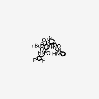 CCCCOc1c2n(cc(C(=O)NCc3c(F)cc(F)cc3F)c1=O)[C@@H]1CN(C2=O)[C@@H](C)CC[C@]12CC(=O)N(Cc1nc3ccccc3[nH]1)O2